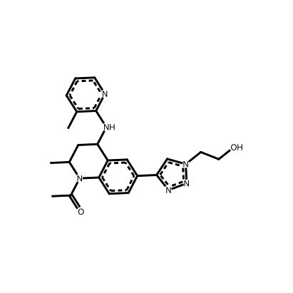 CC(=O)N1c2ccc(-c3cn(CCO)nn3)cc2C(Nc2ncccc2C)CC1C